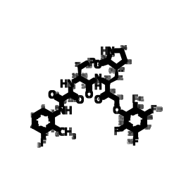 Cc1c(F)cccc1NC(=O)C(=O)N[C@@H](CC(C)C)C(=O)N[C@@H](C[C@@H]1CCNC1=O)C(=O)COc1c(F)c(F)cc(F)c1F